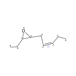 CC/C=C\CC1OC1CC